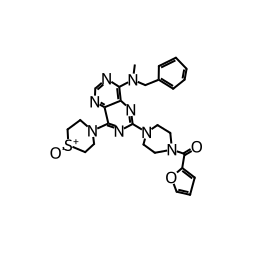 CN(Cc1ccccc1)c1ncnc2c(N3CC[S+]([O-])CC3)nc(N3CCN(C(=O)c4ccco4)CC3)nc12